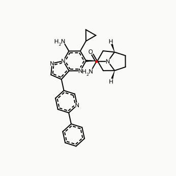 NC(=O)N1[C@@H]2CC[C@H]1C[C@H](c1nc3c(-c4ccc(-c5ccccc5)nc4)cnn3c(N)c1C1CC1)C2